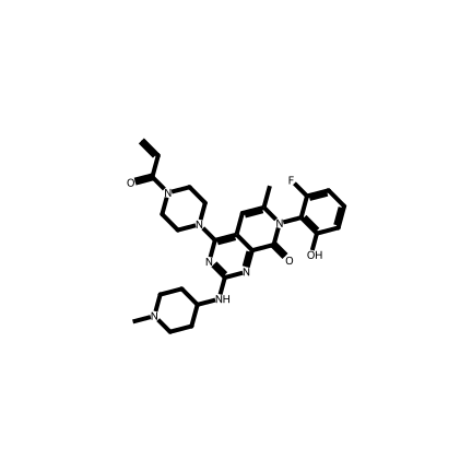 C=CC(=O)N1CCN(c2nc(NC3CCN(C)CC3)nc3c(=O)n(-c4c(O)cccc4F)c(C)cc23)CC1